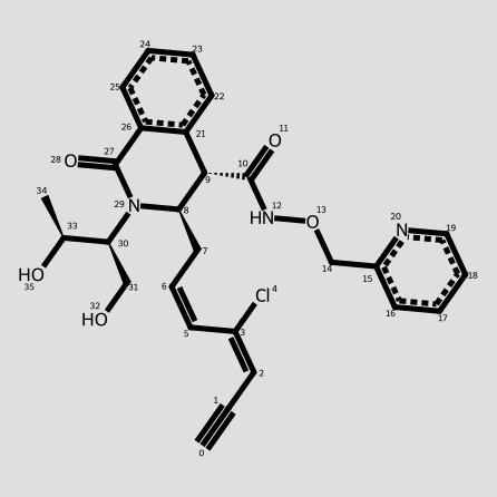 C#C/C=C(Cl)\C=C/C[C@@H]1[C@@H](C(=O)NOCc2ccccn2)c2ccccc2C(=O)N1[C@@H](CO)[C@H](C)O